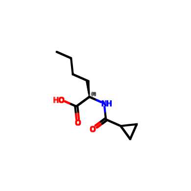 CCCC[C@@H](NC(=O)C1CC1)C(=O)O